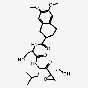 COc1cc2c(cc1OC)CC(C(=O)N[C@@H](CO)C(=O)N[C@@H](CC(C)C)C(=O)[C@@]1(CO)CO1)CC2